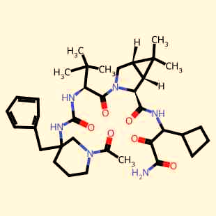 CC(=O)N1CCCC(Cc2ccccc2)(NC(=O)N[C@H](C(=O)N2C[C@H]3[C@@H]([C@H]2C(=O)NC(C(=O)C(N)=O)C2CCC2)C3(C)C)C(C)(C)C)C1